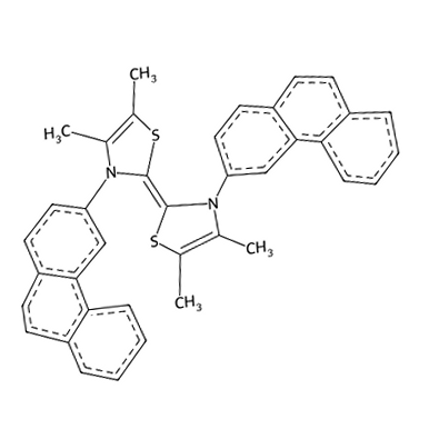 CC1=C(C)N(c2ccc3ccc4ccccc4c3c2)/C(=C2\SC(C)=C(C)N2c2ccc3ccc4ccccc4c3c2)S1